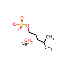 CC(C)CCCOS(=O)(=O)[O-].O.[Na+]